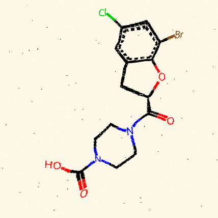 O=C(O)N1CCN(C(=O)[C@H]2Cc3cc(Cl)cc(Br)c3O2)CC1